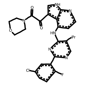 CC(C)c1cnc(-c2cc(Cl)ccc2F)nc1Nc1ccnc2[nH]cc(C(=O)C(=O)N3CCOCC3)c12